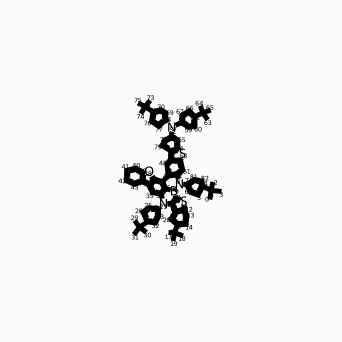 CC(C)(C)c1ccc(N2B3c4sc5ccc(C(C)(C)C)cc5c4N(c4ccc(C(C)(C)C)cc4)c4cc5c(oc6ccccc65)c(c43)-c3cc4c(cc32)sc2cc(N(c3ccc(C(C)(C)C)cc3)c3ccc(C(C)(C)C)cc3)ccc24)cc1